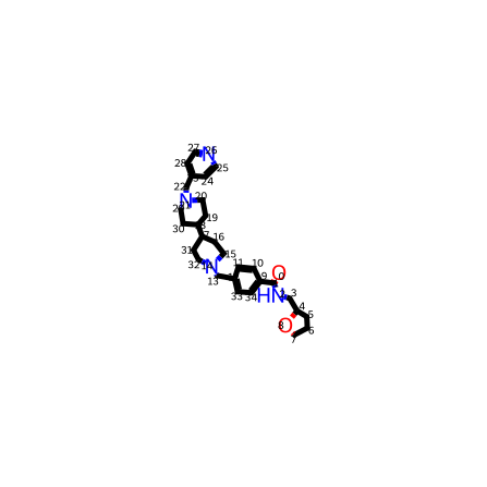 O=C(NCC1CCCO1)c1ccc(CN2CCC(C3CCN(Cc4ccncc4)CC3)CC2)cc1